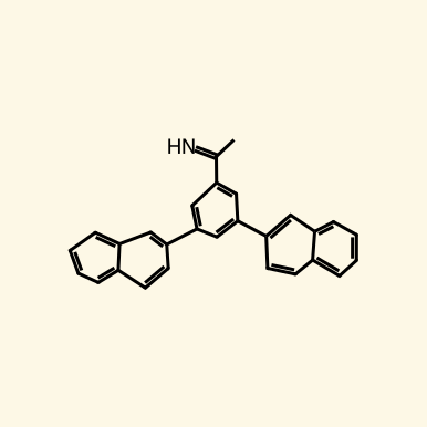 CC(=N)c1cc(-c2ccc3ccccc3c2)cc(-c2ccc3ccccc3c2)c1